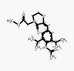 COC(=O)CN1CCS/C(=C/c2cc(C(C)C)c(OC(C)=O)c(C(C)C)c2)C1=S